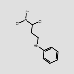 CCN(Cl)C(Cl)CCNc1ccccc1